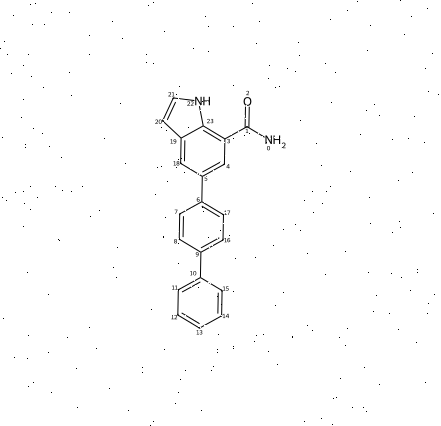 NC(=O)c1cc(-c2ccc(-c3ccccc3)cc2)cc2cc[nH]c12